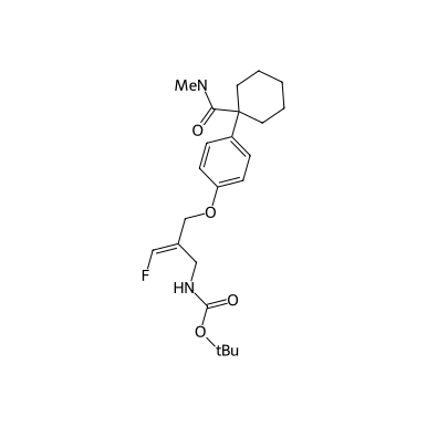 CNC(=O)C1(c2ccc(OC/C(=C/F)CNC(=O)OC(C)(C)C)cc2)CCCCC1